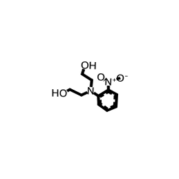 O=[N+]([O-])c1ccccc1N(CCO)CCO